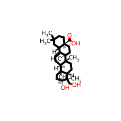 CC1(C)CC[C@]2(C(=O)O)CC[C@]3(C)C(=CC[C@@H]4[C@@]5(C)CC[C@@H](O)[C@](C)(CO)[C@@H]5CC[C@]43C)[C@@H]2C1